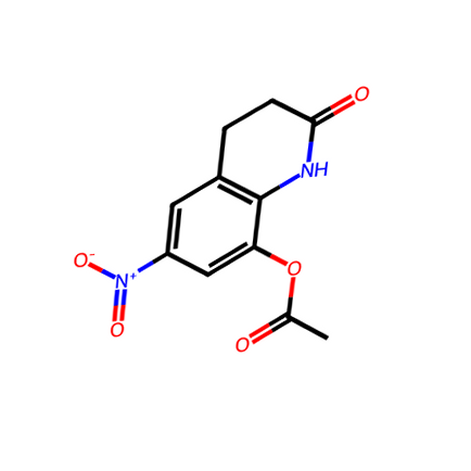 CC(=O)Oc1cc([N+](=O)[O-])cc2c1NC(=O)CC2